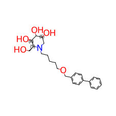 OC[C@H]1[C@@H](O)C(O)[C@@H](O)CN1CCCCCOCc1ccc(-c2ccccc2)cc1